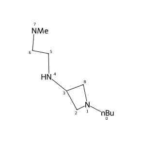 CCCCN1CC(NCCNC)C1